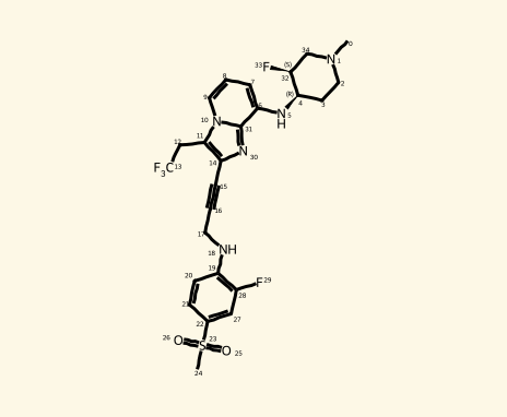 CN1CC[C@@H](Nc2cccn3c(CC(F)(F)F)c(C#CCNc4ccc(S(C)(=O)=O)cc4F)nc23)[C@@H](F)C1